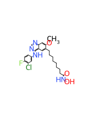 COc1cc2ncnc(Nc3ccc(F)c(Cl)c3)c2cc1CCCCCCCCC(=O)NO